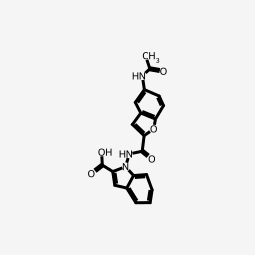 CC(=O)Nc1ccc2oc(C(=O)Nn3c(C(=O)O)cc4ccccc43)cc2c1